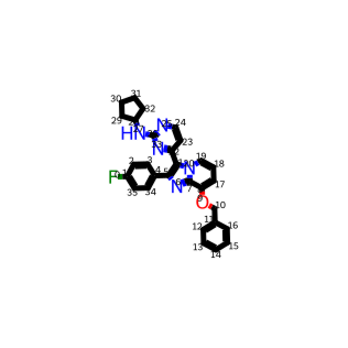 Fc1ccc(-c2nc3c(OCc4ccccc4)cccn3c2-c2ccnc(NC3CCCC3)n2)cc1